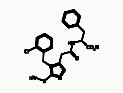 CCCSc1ncc(CC(=O)N[C@@H](Cc2ccccc2)C(=O)O)n1Cc1ccccc1Cl